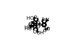 CCC(CC(=O)O)C1(C(CC)CC(=O)O)OB(c2cc([N+](=O)[O-])cc(C#N)c2CBr)OC1(C(CC)CC(=O)O)C(CC)CC(=O)O